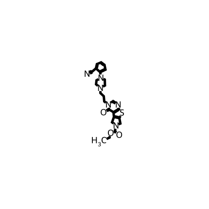 CCOC(=O)N1Cc2sc3ncn(CCCN4CCN(c5ccccc5C#N)CC4)c(=O)c3c2C1